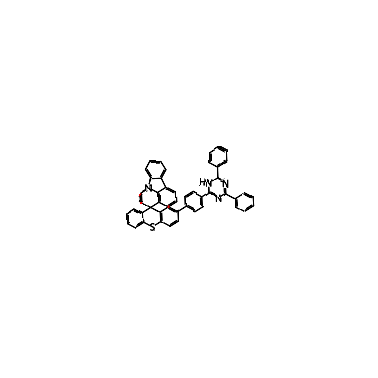 c1ccc(C2=NC(c3ccccc3)NC(c3ccc(-c4ccc5c(c4)C4(c6ccccc6S5)c5ccccc5-n5c6ccccc6c6cccc4c65)cc3)=N2)cc1